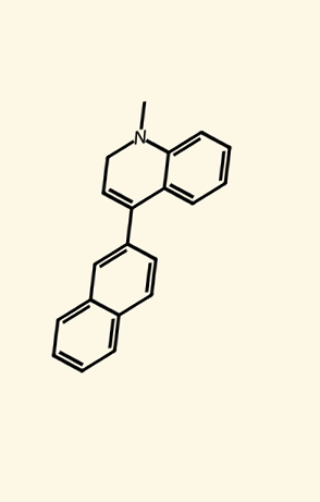 CN1CC=C(c2ccc3ccccc3c2)c2ccccc21